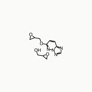 OCC1CO1.c1nc2ccc(OCC3CO3)nn2n1